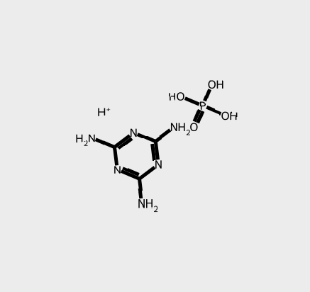 Nc1nc(N)nc(N)n1.O=P(O)(O)O.[H+]